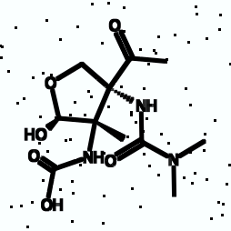 CC(=O)[C@]1(NC(=O)N(C)C)CO[C@H](O)[C@@]1(C)NC(=O)O